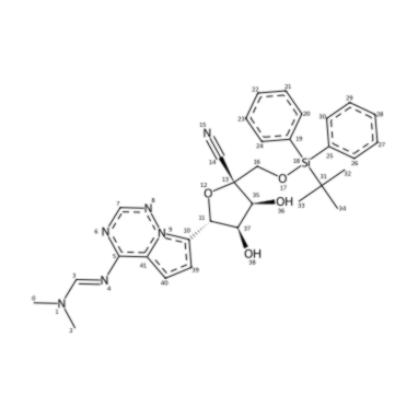 CN(C)/C=N/c1ncnn2c([C@@H]3O[C@](C#N)(CO[Si](c4ccccc4)(c4ccccc4)C(C)(C)C)[C@@H](O)[C@H]3O)ccc12